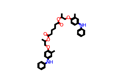 Cc1cc(Nc2ccccc2)ccc1OCC(C)OC(=O)CCCCC(=O)OC(C)COc1ccc(Nc2ccccc2)cc1C